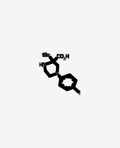 CC(C)(C)C1(C(=O)O)CN(c2ccc(I)cc2)CCN1